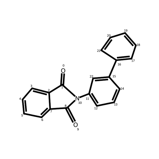 O=C1c2ccccc2C(=O)N1c1cccc(-c2ccccc2)c1